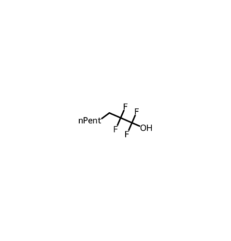 CCCCCCC(F)(F)C(O)(F)F